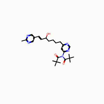 Cc1ncc(C=CC(O)CCCCc2cc(N(C(=O)C(C)(C)C)C(=O)C(C)(C)C)ncn2)cn1